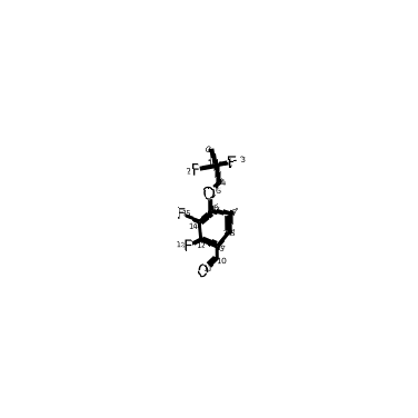 CC(F)(F)COc1ccc(C=O)c(F)c1F